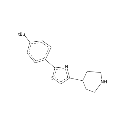 CC(C)(C)c1ccc(-c2nc(C3CCNCC3)cs2)cc1